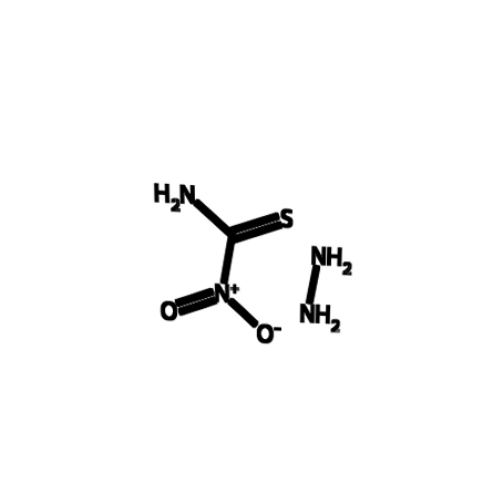 NC(=S)[N+](=O)[O-].NN